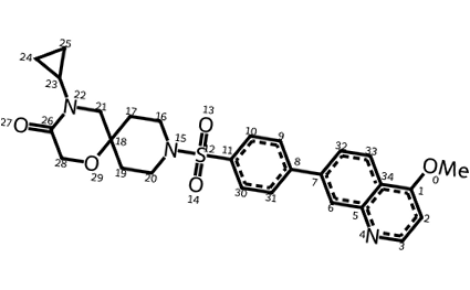 COc1ccnc2cc(-c3ccc(S(=O)(=O)N4CCC5(CC4)CN(C4CC4)C(=O)CO5)cc3)ccc12